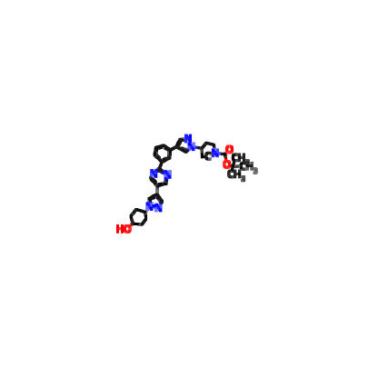 CC(C)(C)OC(=O)N1CCC(n2cc(-c3cccc(-c4ncc(-c5cnn([C@H]6CC[C@H](O)CC6)c5)cn4)c3)cn2)CC1